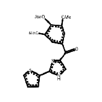 COc1cc(C(=O)c2c[nH]c(-c3cccs3)n2)cc(OC)c1OC